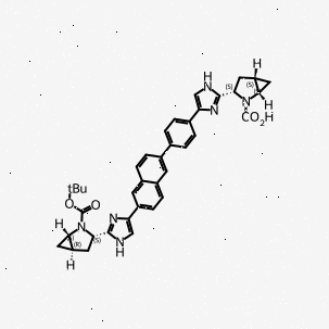 CC(C)(C)OC(=O)N1[C@H](c2nc(-c3ccc4cc(-c5ccc(-c6c[nH]c([C@@H]7C[C@@H]8C[C@@H]8N7C(=O)O)n6)cc5)ccc4c3)c[nH]2)C[C@H]2C[C@@H]21